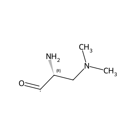 CN(C)C[C@@H](N)[C]=O